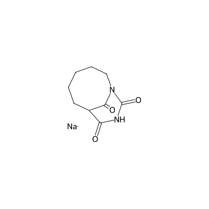 O=C1NC(=O)N2CCCCCC1C2=O.[Na]